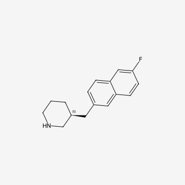 Fc1ccc2cc(C[C@@H]3CCCNC3)ccc2c1